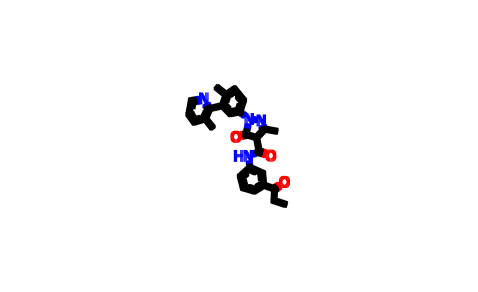 CCC(=O)c1cccc(NC(=O)C2C(=O)N(c3ccc(C)c(-c4ncccc4C)c3)N=C2C)c1